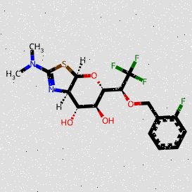 CN(C)C1=N[C@@H]2[C@@H](O)[C@H](O)[C@@H]([C@H](OCc3ccccc3F)C(F)(F)F)O[C@@H]2S1